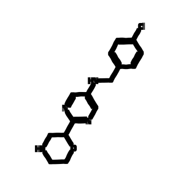 Clc1ccc(CNc2cnc(C3CNCCO3)nc2)cc1